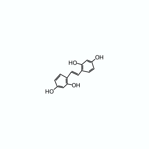 Oc1ccc(C=Cc2ccc(O)cc2O)c(O)c1